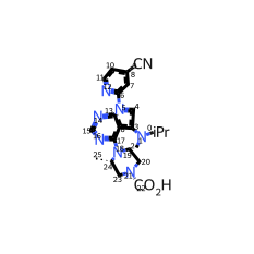 CC(C)N(C)c1cn(-c2cc(C#N)ccn2)c2ncnc(N3CCN(C(=O)O)C[C@@H]3C)c12